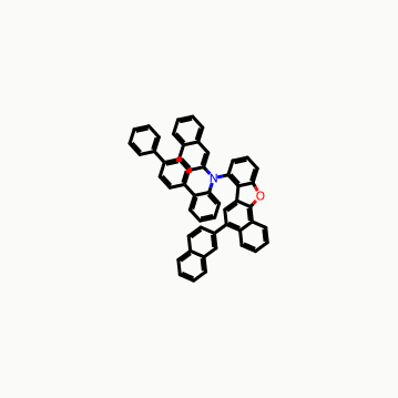 c1ccc(-c2ccc(-c3ccccc3N(c3ccc4ccccc4c3)c3cccc4oc5c6ccccc6c(-c6ccc7ccccc7c6)cc5c34)cc2)cc1